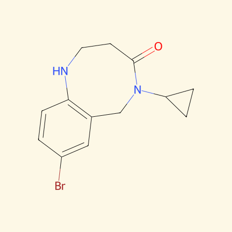 O=C1CCNc2ccc(Br)cc2CN1C1CC1